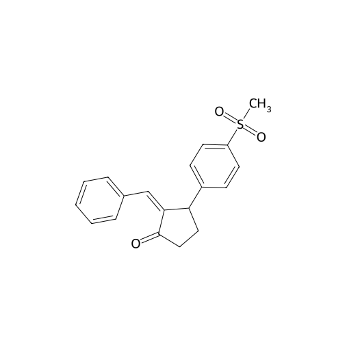 CS(=O)(=O)c1ccc(C2CCC(=O)C2=Cc2ccccc2)cc1